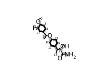 COc1ccc(C(C)Oc2ccc(C(C)N(O)C(N)=O)cc2)cc1F